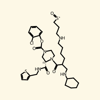 O=[S+]CCCNCCCCC(CNC1CCCCC1)C(=O)N1CCN(C(=O)Oc2ccccc2Cl)C[C@H]1C(=O)NCc1cccs1